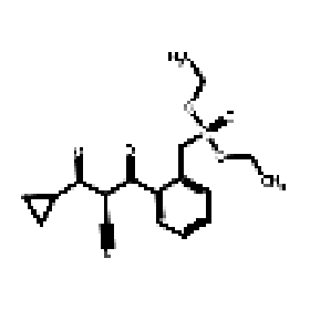 CCOP(=O)(Cc1ccccc1C(=O)C(C#N)C(=O)C1CC1)OCC